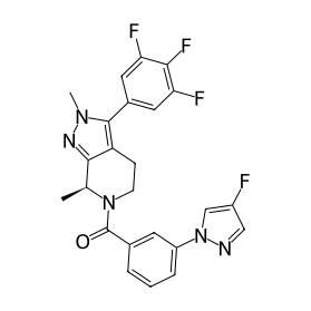 C[C@H]1c2nn(C)c(-c3cc(F)c(F)c(F)c3)c2CCN1C(=O)c1cccc(-n2cc(F)cn2)c1